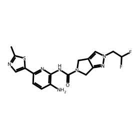 Cc1ncc(-c2ccc(N)c(NC(=O)N3Cc4cn(CC(F)F)nc4C3)n2)s1